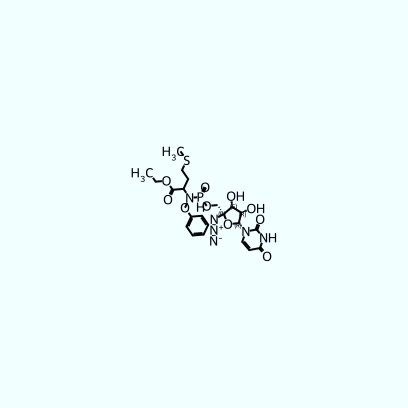 CCOC(=O)C(CCSC)N(Oc1ccccc1)[PH](=O)OC[C@@]1(N=[N+]=[N-])O[C@@H](n2ccc(=O)[nH]c2=O)[C@H](O)[C@@H]1O